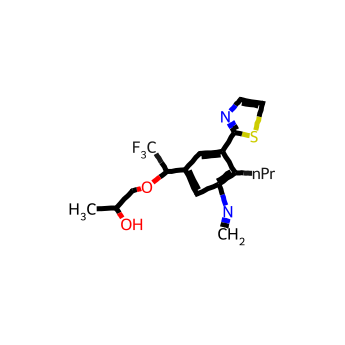 C=Nc1cc(C(OCC(C)O)C(F)(F)F)cc(-c2nccs2)c1CCC